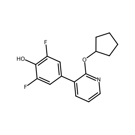 Oc1c(F)cc(-c2cccnc2OC2CCCC2)cc1F